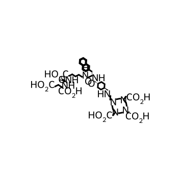 O=C(O)CC[C@H](NC(=O)N[C@@H](CCCCNC(=O)[C@H](Cc1ccc2ccccc2c1)NC(=O)[C@H]1CC[C@H](CNCCN2CCN(CC(=O)O)CCN(CC(=O)O)CCN(CC(=O)O)CC2)CC1)C(=O)O)C(=O)O